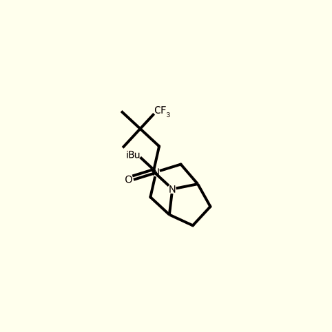 CCC(C)N1CC2CCC(C1)N2C(=O)CC(C)(C)C(F)(F)F